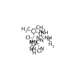 CCNc1nc(C)nc2c(-c3c(C)cc(C)cc3CC(Cl)c3nc(Cc4ccccn4)c4[nH]ncc4n3)n[nH]c12